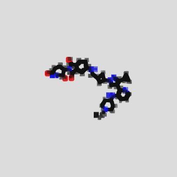 CN1CCC(Nc2cccnc2-c2cn(C3CC(CNc4ccc5c(c4)C(=O)N(C4CCC(=O)NC4=O)C5=O)C3)nc2C2CC2)CC1